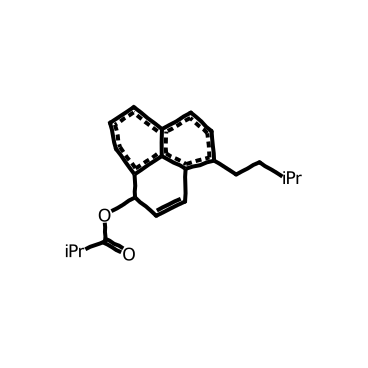 CC(C)CCc1ccc2cccc3c2c1C=CC3OC(=O)C(C)C